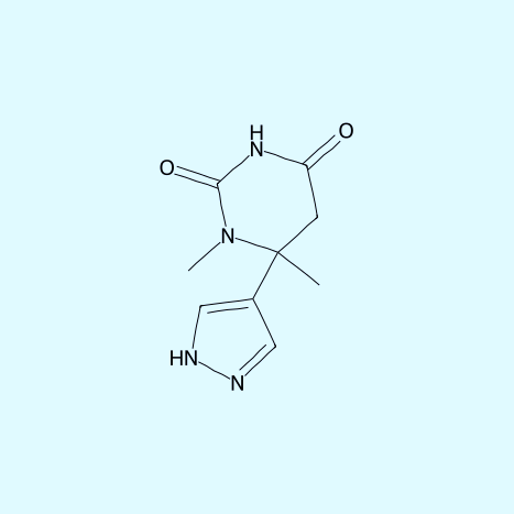 CN1C(=O)NC(=O)CC1(C)c1cn[nH]c1